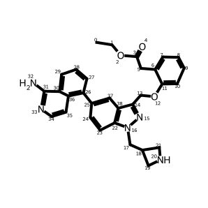 CCOC(=O)Cc1ccccc1OCc1nn(CC2CNC2)c2ccc(-c3cccc4c(N)nccc34)cc12